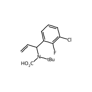 C=CC(c1cccc(Cl)c1F)N(C(=O)O)C(C)(C)C